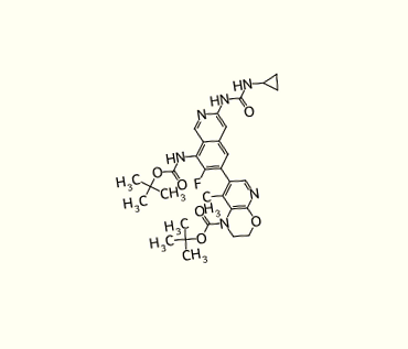 Cc1c(-c2cc3cc(NC(=O)NC4CC4)ncc3c(NC(=O)OC(C)(C)C)c2F)cnc2c1N(C(=O)OC(C)(C)C)CCO2